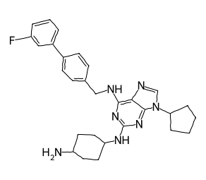 NC1CCC(Nc2nc(NCc3ccc(-c4cccc(F)c4)cc3)c3ncn(C4CCCC4)c3n2)CC1